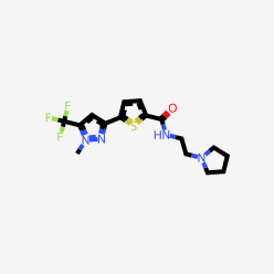 Cn1nc(-c2ccc(C(=O)NCCN3CCCC3)s2)cc1C(F)(F)F